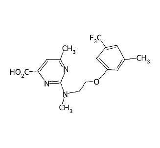 Cc1cc(OCCN(C)c2nc(C)cc(C(=O)O)n2)cc(C(F)(F)F)c1